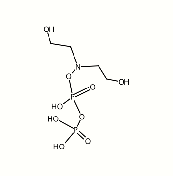 O=P(O)(O)OP(=O)(O)ON(CCO)CCO